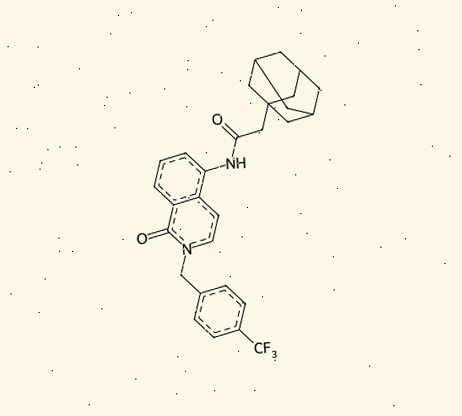 O=C(CC12CC3CC(CC(C3)C1)C2)Nc1cccc2c(=O)n(Cc3ccc(C(F)(F)F)cc3)ccc12